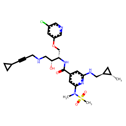 C[C@H]1C[C@@H]1CNc1cc(C(=O)N[C@@H](COc2cncc(Cl)c2)[C@H](O)CNCC#CC2CC2)cc(N(C)S(C)(=O)=O)n1